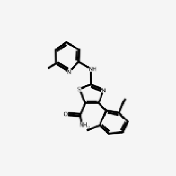 Cc1cccc(Nc2nc(-c3c(C)cccc3C)c(C(N)=O)s2)n1